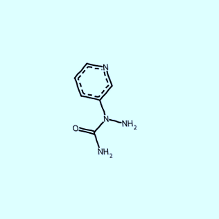 NC(=O)N(N)c1cccnc1